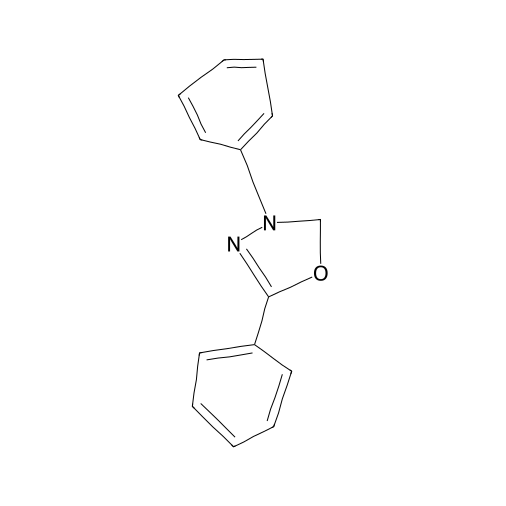 c1ccc(C2=NN(c3ccccc3)CO2)cc1